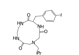 CC(C)CN1CC(=O)NCCNC(=O)C(Cc2ccc(I)cc2)NC(=O)C1